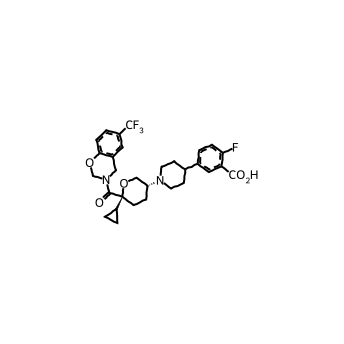 O=C(O)c1cc(C2CCN([C@@H]3CC[C@@](C(=O)N4COc5ccc(C(F)(F)F)cc5C4)(C4CC4)OC3)CC2)ccc1F